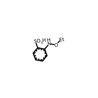 CCONc1ccccc1S(=O)(=O)O